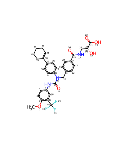 COc1ccc(NC(=O)N(Cc2ccc(C(=O)NC[C@@H](O)C(=O)O)cc2)c2ccc(C3=CCCCC3)cc2)cc1C(F)(F)F